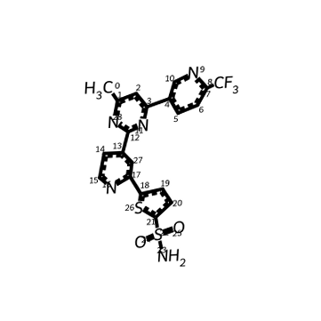 Cc1cc(-c2ccc(C(F)(F)F)nc2)nc(-c2ccnc(-c3ccc(S(N)(=O)=O)s3)c2)n1